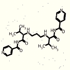 CC(C)C(NCCCNC(C(=O)NC(=O)c1ccncc1)C(C)C)C(=O)NC(=O)c1ccncc1